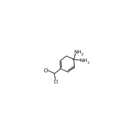 NC1(N)C=CC(C(Cl)Cl)=CC1